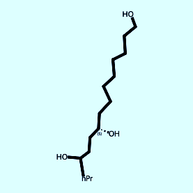 CCCC(O)CC[C@@H](O)CCCCCCCCO